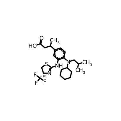 CC(C)CN(c1ccc(C(C)CC(=O)O)cc1NC1=N[C@H](C(F)(F)F)CS1)C1CCCCC1